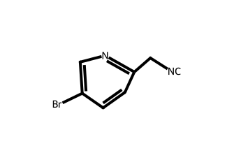 [C-]#[N+]Cc1ccc(Br)cn1